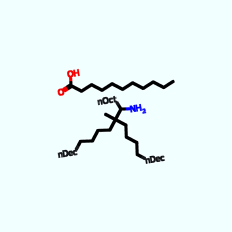 CCCCCCCCCCC(=O)O.CCCCCCCCCCCCCCC(C)(CCCCCCCCCCCCCC)C(N)CCCCCCCC